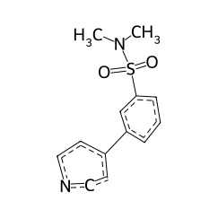 CN(C)S(=O)(=O)c1cccc(-c2ccncc2)c1